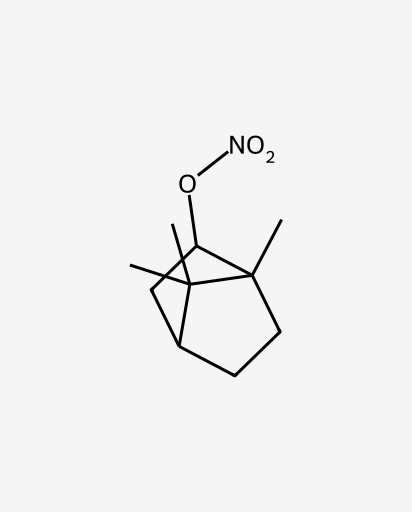 CC1(C)C2CCC1(C)C(O[N+](=O)[O-])C2